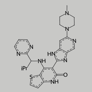 CC(C)C(Nc1c(-c2nc3cnc(N4CCN(C)CC4)cc3[nH]2)c(=O)[nH]c2ccsc12)c1ncccn1